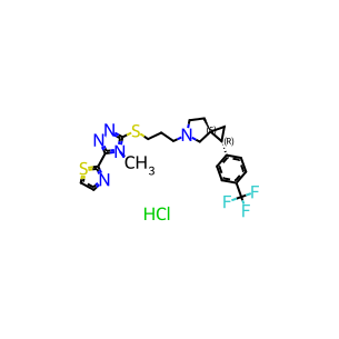 Cl.Cn1c(SCCCN2CC[C@]3(C[C@@H]3c3ccc(C(F)(F)F)cc3)C2)nnc1-c1nccs1